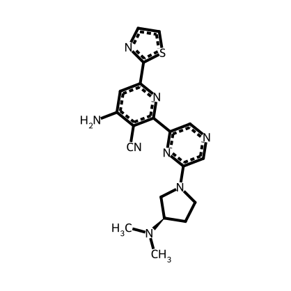 CN(C)[C@@H]1CCN(c2cncc(-c3nc(-c4nccs4)cc(N)c3C#N)n2)C1